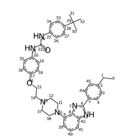 CCc1ccc(-c2nc3c(N4CCN(CCOc5ccc(NC(=O)Nc6ccc(C(C)(C)C)cc6)cc5)CC4)cccc3[nH]2)cc1